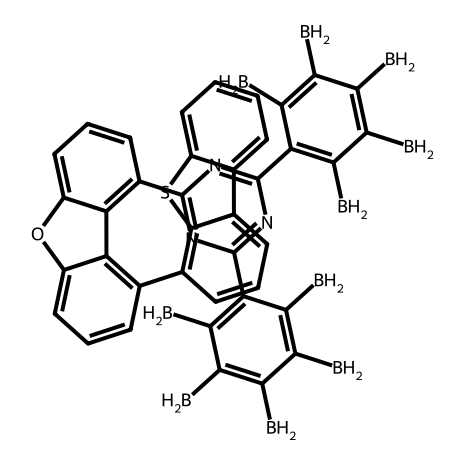 Bc1c(B)c(B)c(-c2nc(-c3c(B)c(B)c(B)c(B)c3B)nc(-c3cccc4oc5cccc(-c6cccc7c6sc6ccccc67)c5c34)n2)c(B)c1B